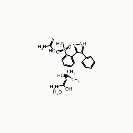 C.C#CC.NC(O)=S.NC(O)=S.NS(=O)(=O)c1ccccc1-c1n[nH]cc1-c1ccccc1.O